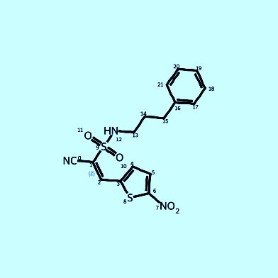 N#C/C(=C/c1ccc([N+](=O)[O-])s1)S(=O)(=O)NCCCc1ccccc1